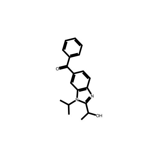 CC(O)c1nc2ccc(C(=O)c3ccccc3)cc2n1C(C)C